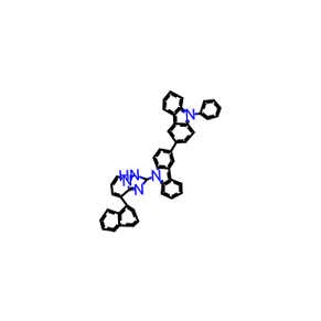 C1=CN2NC(n3c4ccccc4c4cc(-c5ccc6c(c5)c5ccccc5n6-c5ccccc5)ccc43)N=C2C(c2cccc3ccccc23)=C1